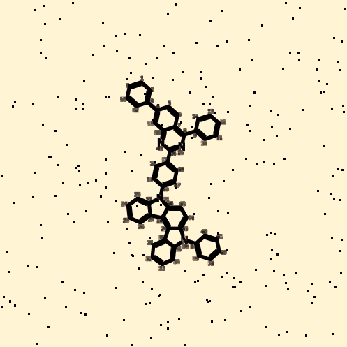 c1ccc(-c2ccc3c(-c4ccccc4)nc(-c4ccc(-n5c6ccccc6c6c7c8ccccc8n(-c8ccccc8)c7ccc65)cc4)nc3c2)cc1